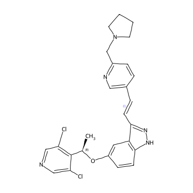 C[C@@H](Oc1ccc2[nH]nc(/C=C/c3ccc(CN4CCCC4)nc3)c2c1)c1c(Cl)cncc1Cl